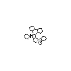 c1ccc(-n2c3ccc4oc5ccccc5c4c3c3c4ccccc4c4ccccc4c32)cc1